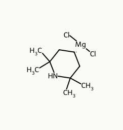 CC1(C)C[CH]CC(C)(C)N1.[Cl][Mg][Cl]